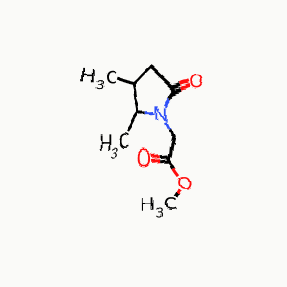 COC(=O)CN1C(=O)CC(C)C1C